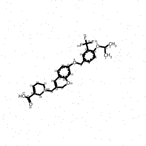 CC(C)Oc1ccc(COc2ccc3c(c2)OCC(CN2CCC=C(C(=O)O)C2)=C3)cc1C(F)(F)F